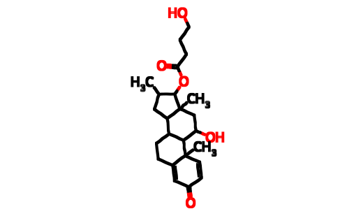 CC1CC2C3CCC4=CC(=O)C=CC4(C)C3C(O)CC2(C)C1OC(=O)CCCO